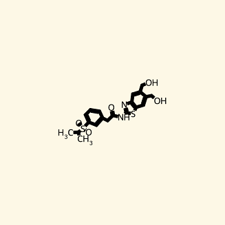 CC(C)S(=O)(=O)c1cccc(CC(=O)Nc2nc3cc(CO)c(CO)cc3s2)c1